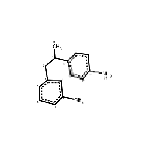 CC(Cc1cccc(N)c1)c1ccc(N)cc1